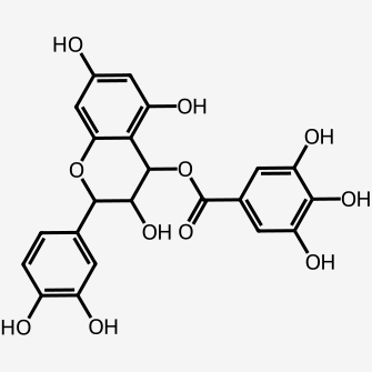 O=C(OC1c2c(O)cc(O)cc2OC(c2ccc(O)c(O)c2)C1O)c1cc(O)c(O)c(O)c1